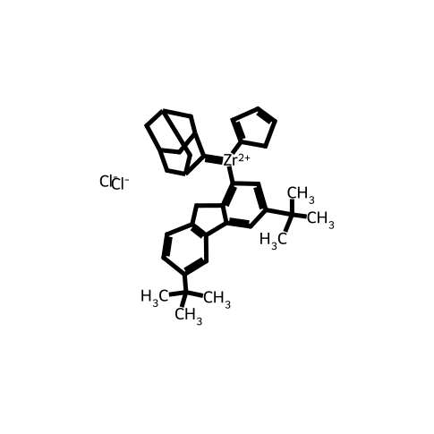 CC(C)(C)c1ccc2c(c1)-c1cc(C(C)(C)C)c[c]([Zr+2]([C]3=CC=CC3)=[C]3C4CC5CC(C4)CC3C5)c1C2.[Cl-].[Cl-]